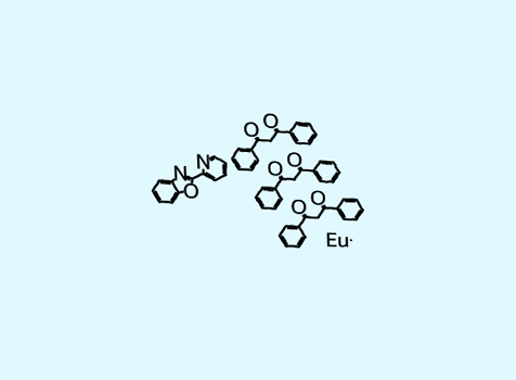 O=C(CC(=O)c1ccccc1)c1ccccc1.O=C(CC(=O)c1ccccc1)c1ccccc1.O=C(CC(=O)c1ccccc1)c1ccccc1.[Eu].c1ccc(-c2nc3ccccc3o2)nc1